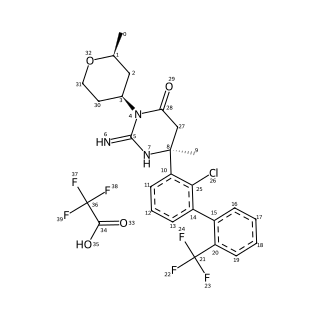 C[C@H]1C[C@@H](N2C(=N)N[C@](C)(c3cccc(-c4ccccc4C(F)(F)F)c3Cl)CC2=O)CCO1.O=C(O)C(F)(F)F